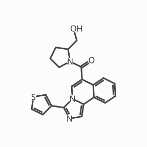 O=C(c1cn2c(-c3ccsc3)ncc2c2ccccc12)N1CCCC1CO